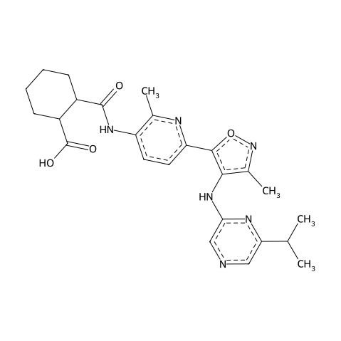 Cc1nc(-c2onc(C)c2Nc2cncc(C(C)C)n2)ccc1NC(=O)C1CCCCC1C(=O)O